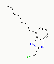 CCCCCCCc1cccc2nc(CCl)[nH]c12